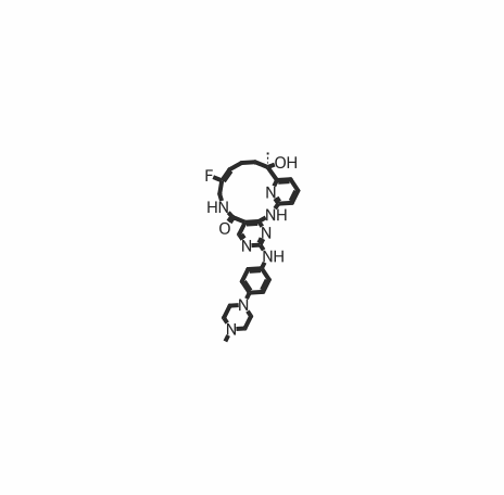 CN1CCN(c2ccc(Nc3ncc4c(n3)Nc3cccc(n3)[C@](C)(O)CC/C=C(/F)CNC4=O)cc2)CC1